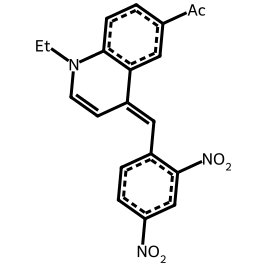 CCN1C=CC(=Cc2ccc([N+](=O)[O-])cc2[N+](=O)[O-])c2cc(C(C)=O)ccc21